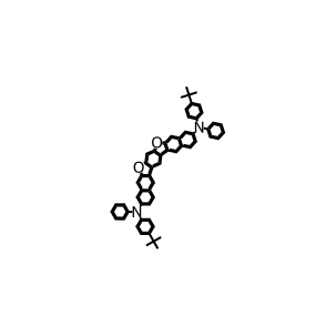 CC(C)(C)c1ccc(N(c2ccccc2)c2ccc3cc4c(cc3c2)oc2cc3oc5cc6cc(N(c7ccccc7)c7ccc(C(C)(C)C)cc7)ccc6cc5c3cc24)cc1